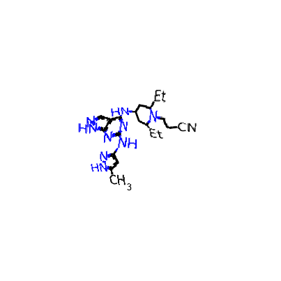 CCC1CC(Nc2nc(Nc3cc(C)[nH]n3)nc3[nH]ncc23)CC(CC)N1CCC#N